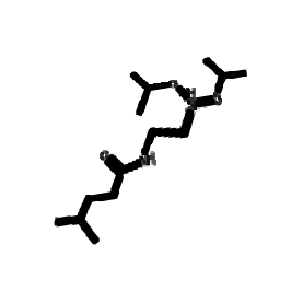 CC(C)CCC(=O)NCC[SiH](OC(C)C)OC(C)C